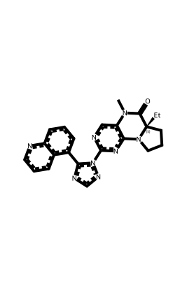 CC[C@@]12CCCN1c1nc(-n3ncnc3-c3cccc4ncccc34)ncc1N(C)C2=O